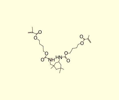 C=C(C)C(=O)OCCCCOC(=O)NCC1(C)CC(NC(=O)OCCCCOC(=O)C(=C)C)CC(C)(C)C1